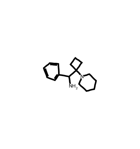 NC(c1ccccc1)C1(N2CCCCC2)CCC1